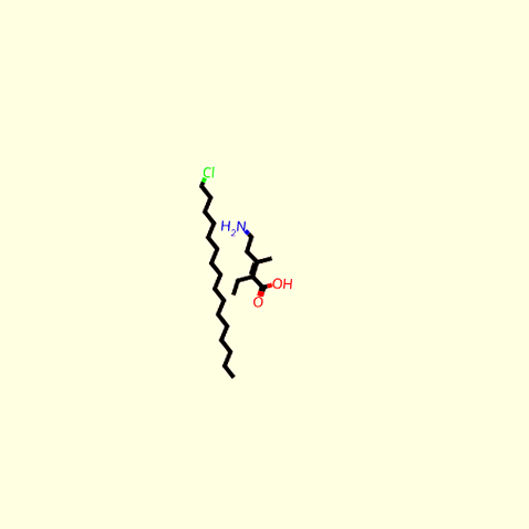 CCC(C(=O)O)=C(C)CCN.CCCCCCCCCCCCCCCCCl